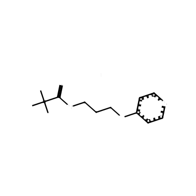 Cl.O=C(NCCCSc1ccncc1)C(F)(F)F